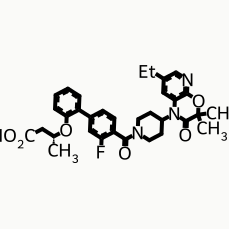 CCc1cnc2c(c1)N(C1CCN(C(=O)c3ccc(-c4ccccc4O[C@H](C)CC(=O)O)cc3F)CC1)C(=O)C(C)(C)O2